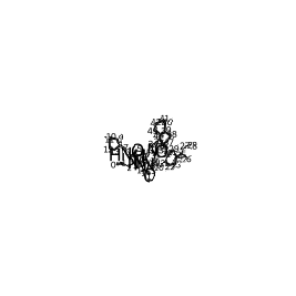 C#CCN(C(=O)NCc1ccccc1)N1CC(=O)N2[C@@H](Cc3ccc(C(C)CC)cc3)C(=O)N(Cc3cccc4ccccc34)C[C@@H]21